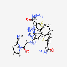 N#CC1CCCN1C(=O)CNCCC1(c2nn[nH]n2)c2cc(C(N)=O)sc2CCc2cc(C(N)=O)sc21